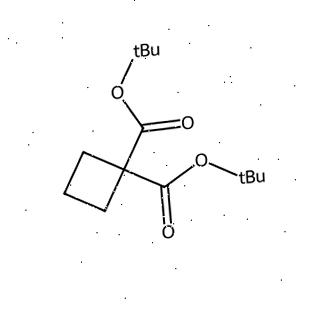 CC(C)(C)OC(=O)C1(C(=O)OC(C)(C)C)CCC1